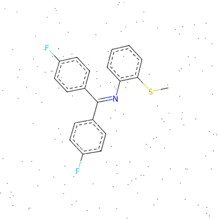 CSc1ccccc1N=C(c1ccc(F)cc1)c1ccc(F)cc1